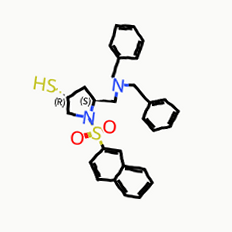 O=S(=O)(c1ccc2ccccc2c1)N1C[C@H](S)C[C@H]1CN(Cc1ccccc1)Cc1ccccc1